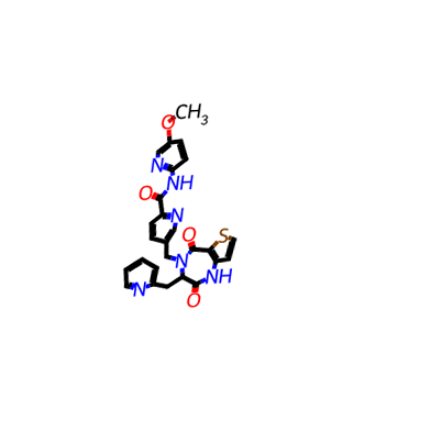 COc1ccc(NC(=O)c2ccc(CN3C(=O)c4sccc4NC(=O)C3Cc3ccccn3)cn2)nc1